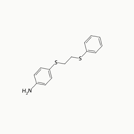 Nc1ccc(SCCSc2ccccc2)cc1